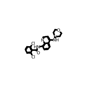 O=C(Nc1cccc2c(NN3CCOCC3)ccnc12)c1c(Cl)cccc1Cl